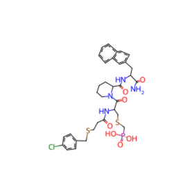 NC(=O)C(Cc1ccc2ccccc2c1)NC(=O)C1CCCCN1C(=O)C(CSCP(=O)(O)O)NC(=O)CCSCc1ccc(Cl)cc1